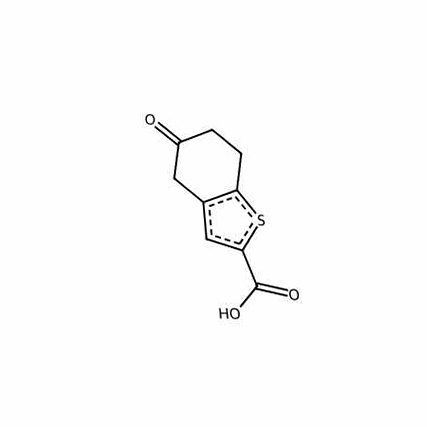 O=C1CCc2sc(C(=O)O)cc2C1